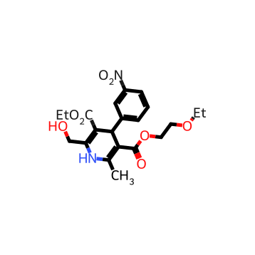 CCOCCOC(=O)C1=C(C)NC(CO)=C(C(=O)OCC)C1c1cccc([N+](=O)[O-])c1